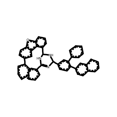 c1ccc(C2=NC(c3ccc(-c4ccc5ccccc5c4)c(-c4ccccc4)c3)NC(c3cccc4oc5ccc(-c6ccccc6)cc5c34)N2)cc1